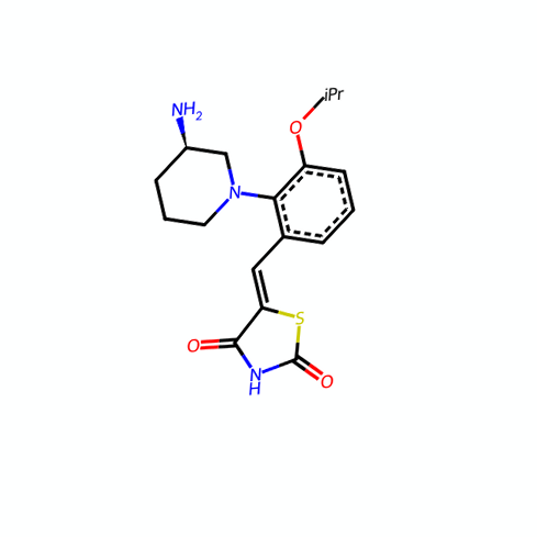 CC(C)Oc1cccc(/C=C2\SC(=O)NC2=O)c1N1CCC[C@@H](N)C1